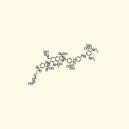 Nc1cc(N)c(S(=O)(=O)O)cc1/N=N/c1ccc(Nc2ccc(/N=N/c3c(S(=O)(=O)O)cc4cc(SOOO)c(/N=N/c5ccc(S(=O)(=O)CCOSOOO)cc5S(=O)(=O)O)c(N)c4c3O)cc2S(=O)(=O)O)cc1